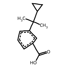 CC(C)(c1cccc(C(=O)O)c1)C1CC1